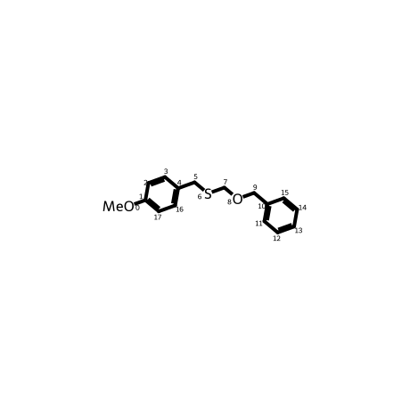 COc1ccc(CSCOCc2ccccc2)cc1